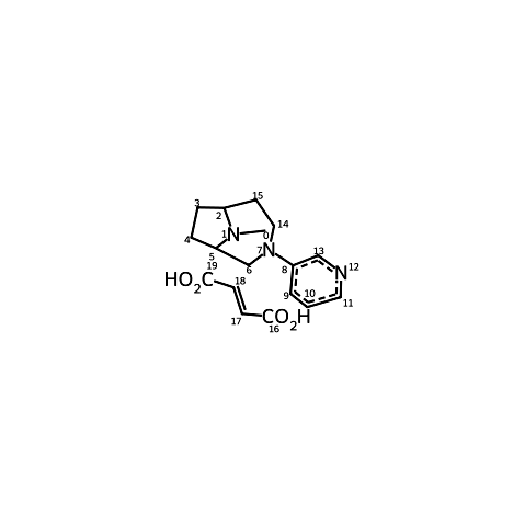 CN1C2CCC1CN(c1cccnc1)CC2.O=C(O)/C=C/C(=O)O